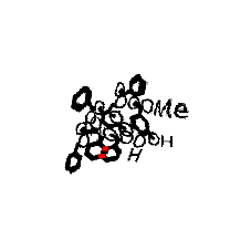 COC(=O)C1CC(O)C(O)C(OC2OC(COC(=O)c3ccccc3)C(OC(=O)c3ccccc3)C(O[C@@H](CC3CCCCC3)C(=O)OCc3ccccc3)C2OC(=O)c2ccccc2)C1